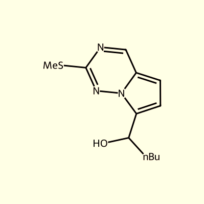 CCCCC(O)c1ccc2cnc(SC)nn12